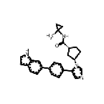 CC1(NC(=O)[C@H]2CC[C@@H](n3cncc3-c3ccc(-c4ccc5cc[nH]c5c4)cc3)C2)CC1